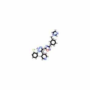 Fc1ccccc1-n1nnc(-c2nc(-c3cccc(Cn4ccnc4)c3)no2)c1-c1ccncc1